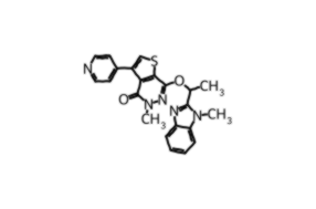 CC(Oc1nn(C)c(=O)c2c(-c3ccncc3)csc12)c1nc2ccccc2n1C